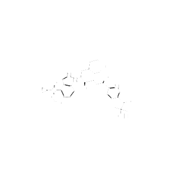 COc1ccc2c(cnn2C(CC2CCOCC2)C(=O)CCC(=O)c2ccc(C(O)C(C)(C)O)cn2)c1S(=O)(=O)C1CC1